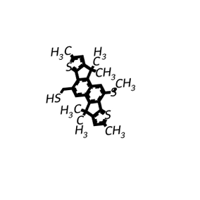 CSc1cc2c3c(c(CS)cc2c2c1-c1sc(C)cc1C2(C)C)-c1sc(C)cc1C3(C)C